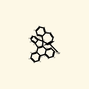 Brc1ccc2c(c1)C=Cc1ccccc1C21c2ccccc2-c2c1c1ccccc1c1ccccc21